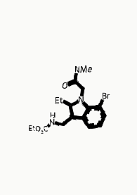 CCOC(=O)NCC1c2cccc(Br)c2N(CC(=O)NC)C1CC